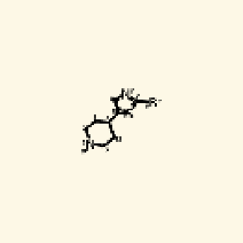 CN1CCC(c2cnc(Br)s2)CC1